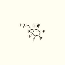 CCCC1(O)C(F)=C(F)C(F)=C(F)C1(F)F